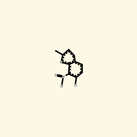 Cc1ccc2ccc(Cl)c([N+](=O)[O-])c2n1